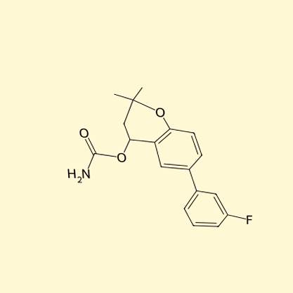 CC1(C)CC(OC(N)=O)c2cc(-c3cccc(F)c3)ccc2O1